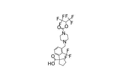 O=C(OC(C(F)(F)F)C(F)(F)F)N1CCN(Cc2cccc(C3(C(=O)O)CCCC3)c2C(F)(F)F)CC1